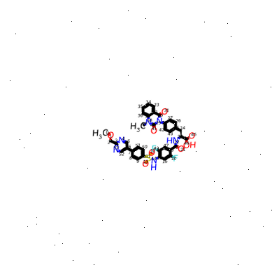 COCc1ncc(-c2ccc(S(=O)(=O)Nc3cc(F)c(C(=O)N[C@@H](Cc4ccc(-n5c(=O)c6ccccc6n(C)c5=O)cc4)C(=O)O)cc3F)cc2)cn1